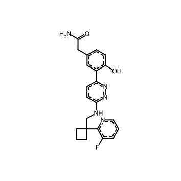 NC(=O)Cc1ccc(O)c(-c2ccc(NCC3(c4ncccc4F)CCC3)nn2)c1